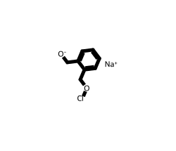 [Na+].[O-]Cc1ccccc1COCl